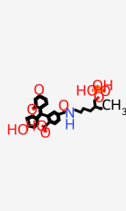 CCC(CCCCNC(=O)c1ccc(C(=O)O)c(-c2c3ccc(=O)cc-3oc3cc(O)ccc23)c1)COP(=O)(O)O